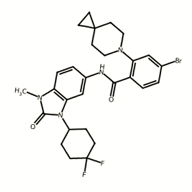 Cn1c(=O)n(C2CCC(F)(F)CC2)c2cc(NC(=O)c3ccc(Br)cc3N3CCC4(CC3)CC4)ccc21